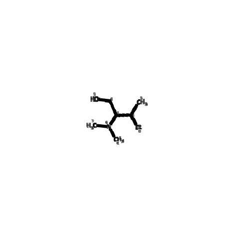 CCC(C)C(CO)N(C)C